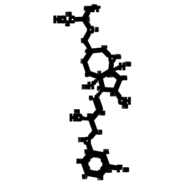 CCCC(OC[C@@H]1CC[C@@H]2[C@@H](/C=C/[C@@H](O)COc3cccc(F)c3)[C@H](O)C[C@@H]2OC1)C(=O)O